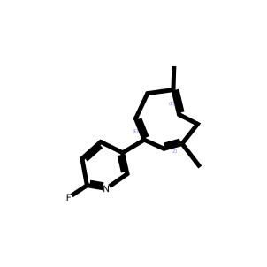 C/C1=C/C(c2ccc(F)nc2)=C\C/C(C)=C/C1